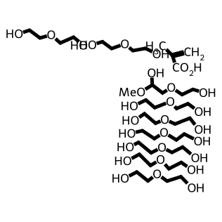 C=C(C)C(=O)O.COC(O)COCCO.OCCOCCO.OCCOCCO.OCCOCCO.OCCOCCO.OCCOCCO.OCCOCCO.OCCOCCO.OCCOCCO